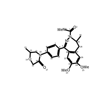 CNC(=O)N1N=C(c2ccc(N3CC(C)OCC3=O)cc2)c2cc(OC)c(OC)cc2CC1C